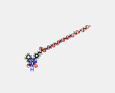 COCCOCCOCCOCCOCCOCCOCCOCCOCCOC(=O)/C=C/c1ccc(-c2nc3c(=O)[nH]c(=O)n(CC4CCCCC4)c3[nH]2)cc1